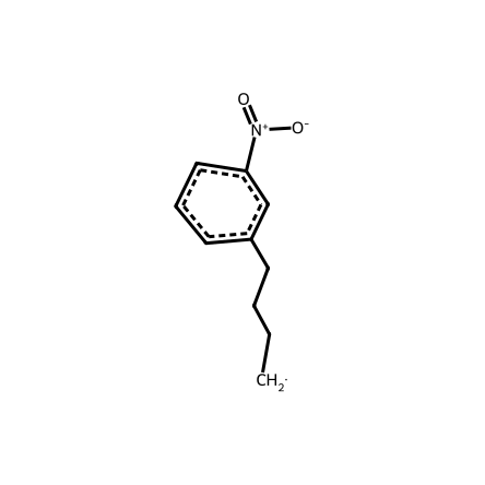 [CH2]CCCc1cccc([N+](=O)[O-])c1